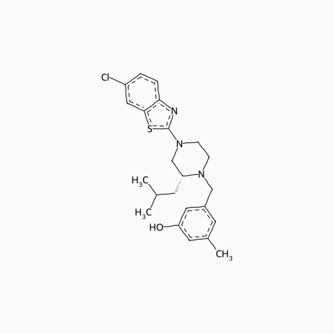 Cc1cc(O)cc(CN2CCN(c3nc4ccc(Cl)cc4s3)C[C@H]2CC(C)C)c1